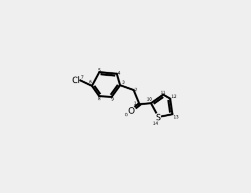 O=C(Cc1ccc(Cl)cc1)c1cccs1